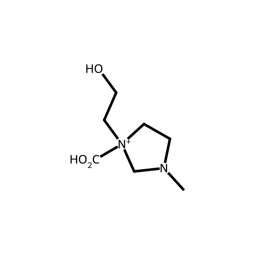 CN1CC[N+](CCO)(C(=O)O)C1